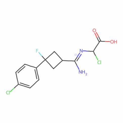 N/C(=N\C(Cl)C(=O)O)C1CC(F)(c2ccc(Cl)cc2)C1